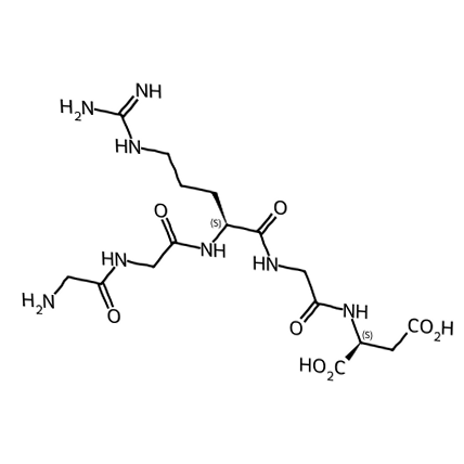 N=C(N)NCCC[C@H](NC(=O)CNC(=O)CN)C(=O)NCC(=O)N[C@@H](CC(=O)O)C(=O)O